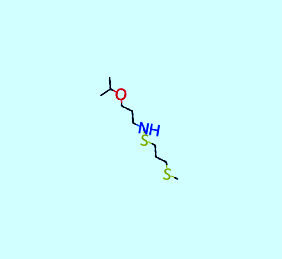 CSCCCSNCCCOC(C)C